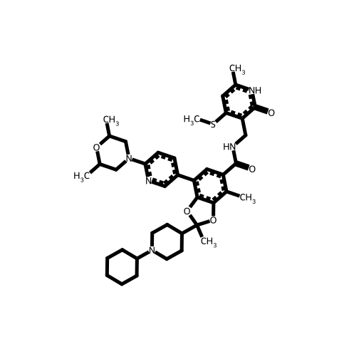 CSc1cc(C)[nH]c(=O)c1CNC(=O)c1cc(-c2ccc(N3CC(C)OC(C)C3)nc2)c2c(c1C)OC(C)(C1CCN(C3CCCCC3)CC1)O2